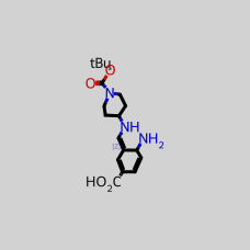 CC(C)(C)OC(=O)N1CCC(N/C=C2/C=C(C(=O)O)C=CC2N)CC1